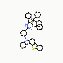 c1ccc(-c2nc(-c3cccc(-n4c5ccccc5c5c6sc7ccccc7c6ccc54)c3)nc3c2[Si](c2ccccc2)(c2ccccc2)c2ccccc2-3)cc1